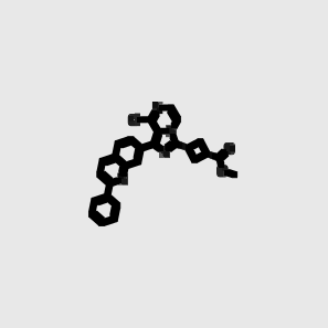 COC(=O)[C@H]1C[C@@H](c2nc(-c3ccc4ccc(-c5ccccc5)nc4c3)c3c(Cl)nccn32)C1